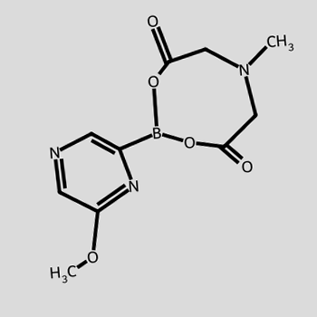 COc1cncc(B2OC(=O)CN(C)CC(=O)O2)n1